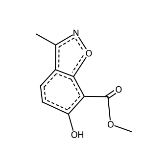 COC(=O)c1c(O)ccc2c(C)noc12